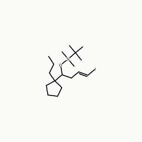 CCCC1(C(C/C=C/I)O[Si](C)(C)C(C)(C)C)CCCC1